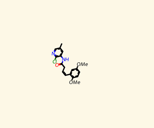 COc1ccc(OC)c(/C=C\CC(=O)Nc2cc(C)cnc2Cl)c1